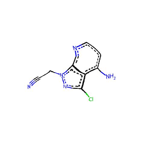 N#CCn1nc(Cl)c2c(N)ccnc21